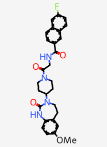 COc1ccc2c(c1)CCN(C1CCN(C(=O)CNC(=O)c3ccc4cc(F)ccc4c3)CC1)C(=O)N2